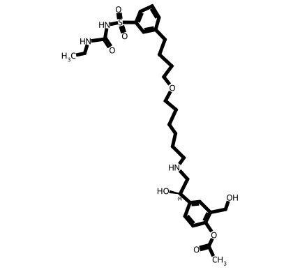 CCNC(=O)NS(=O)(=O)c1cccc(CCCCOCCCCCCNC[C@H](O)c2ccc(OC(C)=O)c(CO)c2)c1